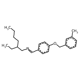 CCCCC(CC)C/N=C/c1ccc(OCc2cccc(C)c2)cc1